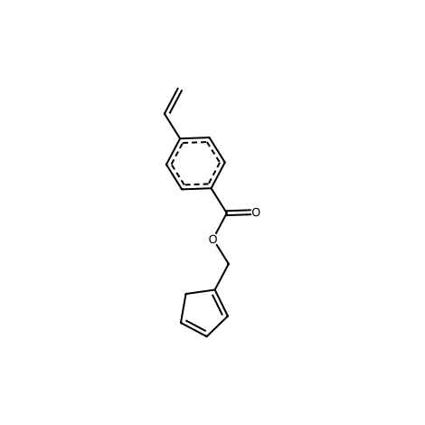 C=Cc1ccc(C(=O)OCC2=CC=CC2)cc1